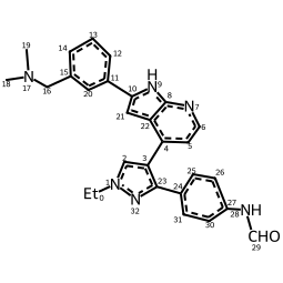 CCn1cc(-c2ccnc3[nH]c(-c4cccc(CN(C)C)c4)cc23)c(-c2ccc(NC=O)cc2)n1